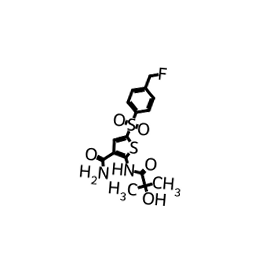 CC(C)(O)C(=O)Nc1sc(S(=O)(=O)c2ccc(CF)cc2)cc1C(N)=O